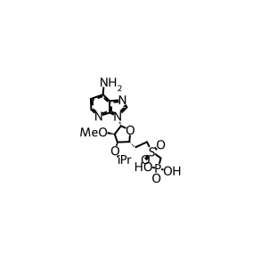 CO[C@@H]1[C@H](OC(C)C)[C@@H](CCS(=O)(=O)CP(=O)(O)O)O[C@H]1n1cnc2c(N)ccnc21